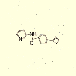 O=C(Nc1cccnc1)c1ccc(C23CC(C2)C3)cc1